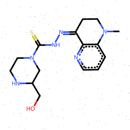 CN1CC/C(=N/NC(=S)N2CCNC(CO)C2)c2ncccc21